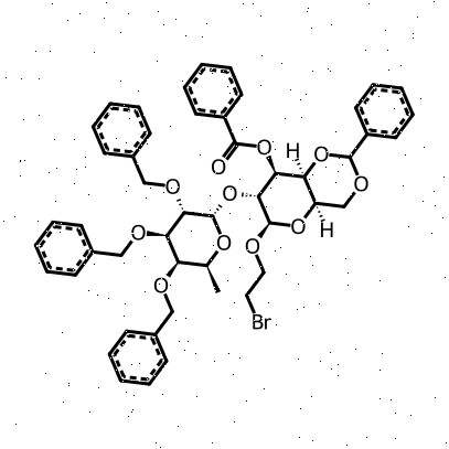 C[C@@H]1O[C@@H](O[C@H]2[C@H](OCCBr)O[C@@H]3COC(c4ccccc4)O[C@@H]3[C@@H]2OC(=O)c2ccccc2)[C@@H](OCc2ccccc2)[C@H](OCc2ccccc2)[C@@H]1OCc1ccccc1